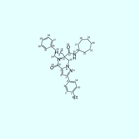 CCc1ccc(-c2cc3n(n2)CC(C)(C(=O)NC2CCCCCC2)N(CCc2ccccc2)C3=O)cc1